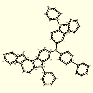 c1ccc(-c2ccc(N(c3ccc4c(c3)c3ccccc3n4-c3ccccc3)c3ccc4c5c6sc7ccccc7c6ccc5n(-c5ccccc5)c4c3)cc2)cc1